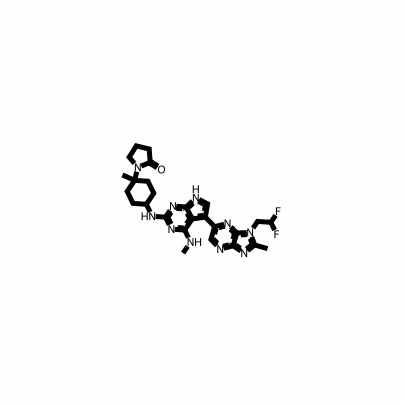 CNc1nc(NC2CCC(C)(N3CCCC3=O)CC2)nc2[nH]cc(-c3cnc4nc(C)n(CC(F)F)c4n3)c12